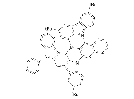 CC(C)(C)c1ccc2c(c1)c1cc3c(c4c1n2-c1cc2ccccc2c2c1B4c1cc(C(C)(C)C)cc4c5cc(C(C)(C)C)ccc5n-2c14)c1ccccc1n3-c1ccccc1